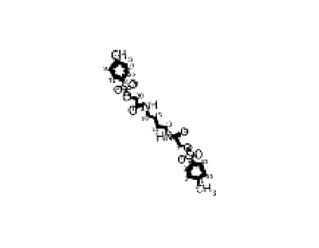 Cc1ccc(S(=O)(=O)OCC(=O)NCCCCNC(=O)COS(=O)(=O)c2ccc(C)cc2)cc1